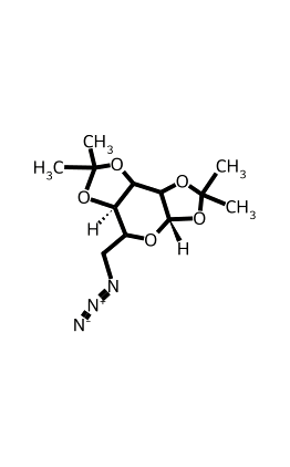 CC1(C)OC2C3OC(C)(C)O[C@@H]3C(CN=[N+]=[N-])O[C@H]2O1